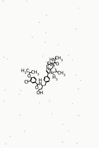 CCn1cc(-c2ccc(C[C@@H](CCO)NC(=O)c3ccc(OC(C)C)c(Cl)c3)cc2)nc1[C@@H](CC(C)C)NC(=O)NC